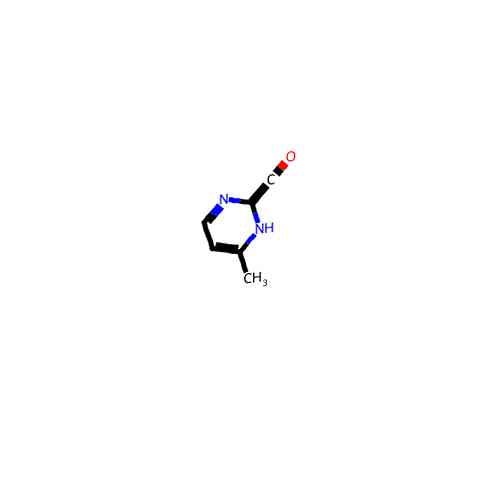 CC1=CC=NC(=C=O)N1